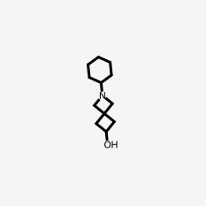 OC1CC2(C1)CN(C1CCCCC1)C2